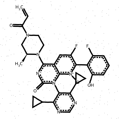 C=CC(=O)N1CCN(c2nc(=O)n(-c3c(C4CC4)ncnc3C3CC3)c3c2cc(F)c(-c2c(O)cccc2F)[n+]3[O-])[C@@H](C)C1